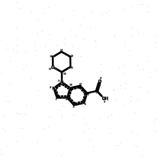 O=C(O)c1ccc2cnn(C3CCCCO3)c2c1